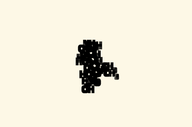 CN(C)c1cc(C(=O)NCCO)c(O)c2c1C[C@H]1C[C@H]3CC(O)=C(C(N)=O)C(=O)[C@@]3(O)C(O)=C1C2=O